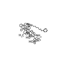 CC(=O)N1CCC[C@H]1C(=O)NC(CC(C)C)C(=O)NC(Cc1cncn1CCCCCCCCc1ccccc1)C(=O)NC(CO)C(=O)NC(C(N)=O)C(C)CP(=O)(O)O